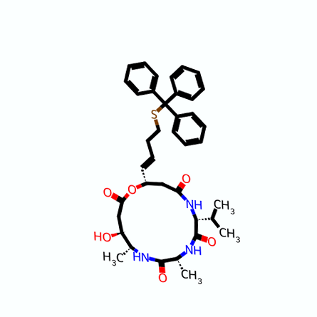 CC(C)[C@H]1NC(=O)C[C@@H](/C=C/CCSC(c2ccccc2)(c2ccccc2)c2ccccc2)OC(=O)C[C@H](O)[C@@H](C)NC(=O)[C@@H](C)NC1=O